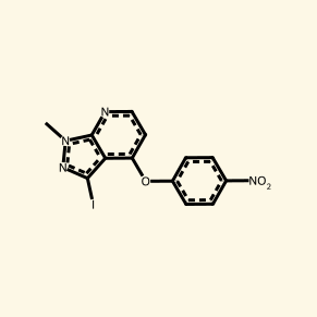 Cn1nc(I)c2c(Oc3ccc([N+](=O)[O-])cc3)ccnc21